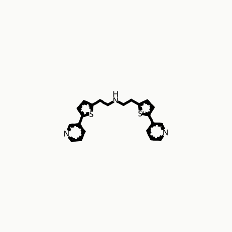 c1cncc(-c2ccc(CCNCCc3ccc(-c4cccnc4)s3)s2)c1